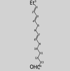 CCC=CC=CCC/C=C/CCCCCC=O